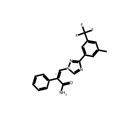 Cc1cc(-c2ncn(/C=C(\C(N)=O)c3ccccc3)n2)cc(C(F)(F)F)c1